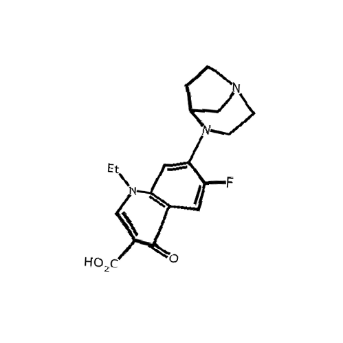 CCn1cc(C(=O)O)c(=O)c2cc(F)c(N3CCN4CCC3C4)cc21